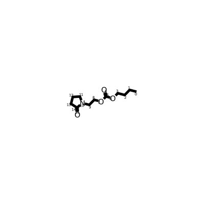 CCCCOC(=O)OCCN1CCCC1=O